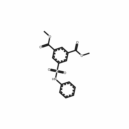 COC(=O)c1cc(C(=O)OC)cc(S(=O)(=O)Nc2ccccc2)c1